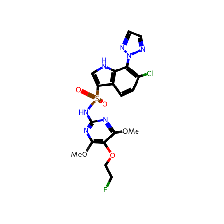 COc1nc(NS(=O)(=O)c2c[nH]c3c(-n4nccn4)c(Cl)ccc23)nc(OC)c1OCCF